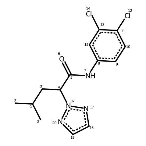 CC(C)CC(C(=O)Nc1ccc(Cl)c(Cl)c1)n1nccn1